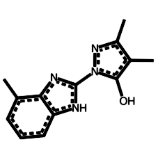 Cc1nn(-c2nc3c(C)cccc3[nH]2)c(O)c1C